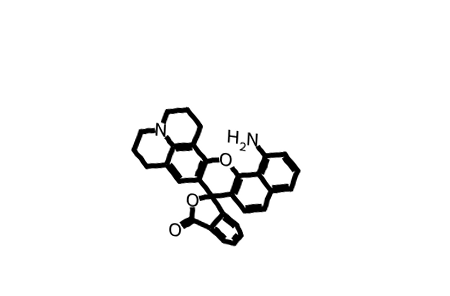 Nc1cccc2ccc3c(c12)Oc1c(cc2c4c1CCCN4CCC2)C31OC(=O)c2ccccc21